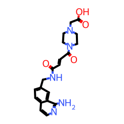 Nc1nccc2ccc(CNC(=O)/C=C/C(=O)N3CCN(CC(=O)O)CC3)cc12